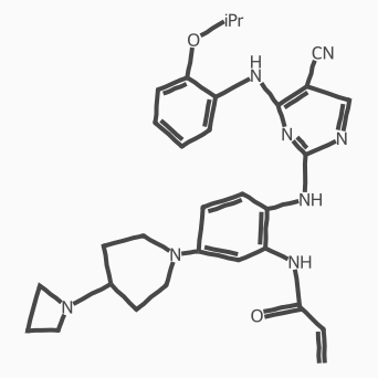 C=CC(=O)Nc1cc(N2CCC(N3CCC3)CC2)ccc1Nc1ncc(C#N)c(Nc2ccccc2OC(C)C)n1